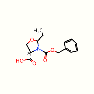 CCC1OC[C@@H](C(=O)O)N1C(=O)OCc1ccccc1